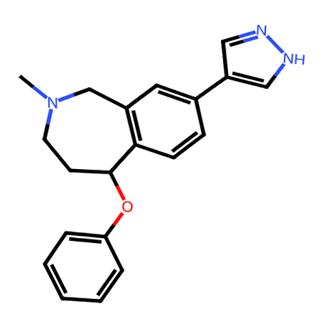 CN1CCC(Oc2ccccc2)c2ccc(-c3cn[nH]c3)cc2C1